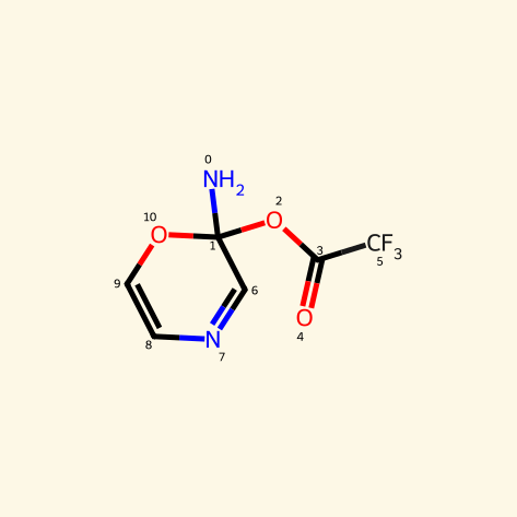 NC1(OC(=O)C(F)(F)F)C=NC=CO1